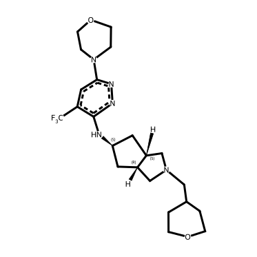 FC(F)(F)c1cc(N2CCOCC2)nnc1N[C@H]1C[C@@H]2CN(CC3CCOCC3)C[C@@H]2C1